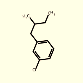 CCC(C)Cc1cccc(Cl)c1